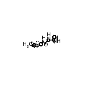 CN1CCN(Cc2ccc(NC(=O)c3c[nH]c(-c4n[nH]c5ncccc45)c3)cc2C(F)(F)F)CC1